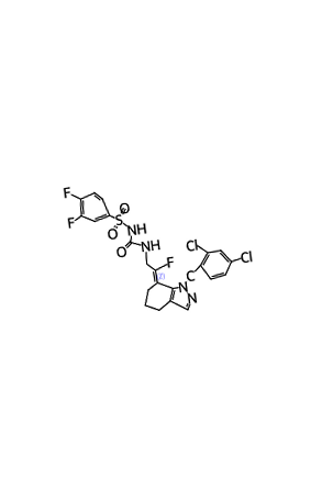 O=C(NC/C(F)=C1\CCCc2cnn(Cc3ccc(Cl)cc3Cl)c21)NS(=O)(=O)c1ccc(F)c(F)c1